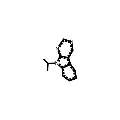 CC(C)n1c2ccccc2c2cncnc21